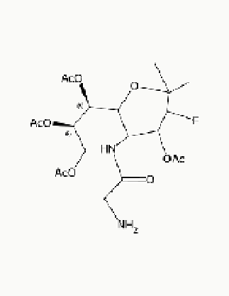 CC(=O)OC[C@@H](OC(C)=O)[C@@H](OC(C)=O)C1OC(C)(C)C(F)C(OC(C)=O)C1NC(=O)CN